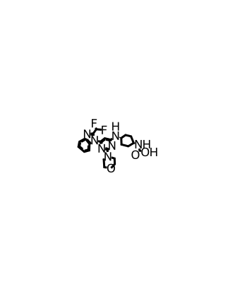 O=C(O)N[C@H]1CC[C@H](Nc2cc(-n3c(C(F)F)nc4ccccc43)nc(N3CCOCC3)n2)CC1